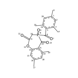 Cc1cc(C)c(C(=O)P2(=O)CC(=O)Oc3cc(C)cc(C)c3C2=O)c(C)c1